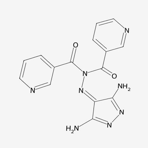 NC1=NN=C(N)C1=NN(C(=O)c1cccnc1)C(=O)c1cccnc1